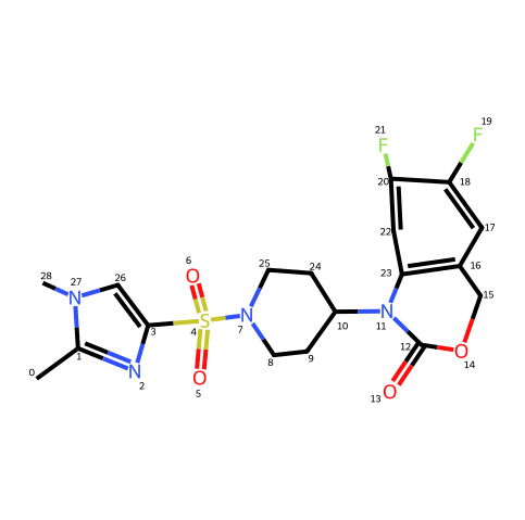 Cc1nc(S(=O)(=O)N2CCC(N3C(=O)OCc4cc(F)c(F)cc43)CC2)cn1C